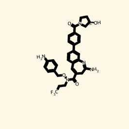 NC1=Nc2cc(-c3ccc(C(=O)N4CC[C@@H](O)C4)cc3)ccc2C=C(C(=O)N(CCC(F)(F)F)OCc2ccc(N)cc2)C1